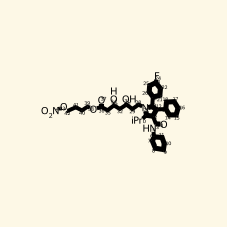 CC(C)c1c(C(=O)Nc2ccccc2)c(-c2ccccc2)c(-c2ccc(F)cc2)n1CCC(O)C[C@@H](O)CC(=O)OCCCCO[N+](=O)[O-]